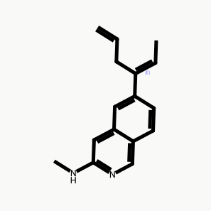 C=CC/C(=C\C)c1ccc2cnc(NC)cc2c1